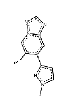 CC(C)c1cn2ncnc2cc1-c1ccn(C)n1